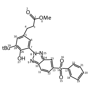 COC(=O)CCc1cc(-n2nc3ccc(S(=O)(=O)c4ccccc4)cc3n2)c(O)c(C(C)(C)C)c1